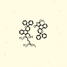 C=C1OC(=O)c2c3c(c4ccccc4c21)OC(c1ccccc1)(c1ccccc1)C=C3.CN(C)CCCN(C)c1c(CO)c2c(c3ccccc13)OC(c1ccccc1)(c1ccccc1)C=C2